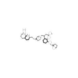 COC(=O)CC(CN1CC[C@@H](CCc2ccc3c(n2)NCCC3)C1)c1cccc(OC[C@H]2CCCO2)c1